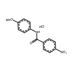 COc1ccc(NC(=O)c2ccc([N+](=O)[O-])cc2)cc1.Cl